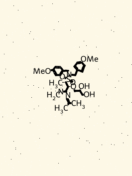 C=N/C(=N\C=C(C)C)[C@@H](OC[C@@H](O)CO)[C@H](C)S(=O)(=O)N(Cc1ccc(OC)cc1)Cc1ccc(OC)cc1